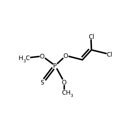 COP(=S)(OC)OC=C(Cl)Cl